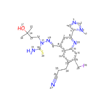 Cn1cncc1-c1cc(/C=N/N(CCC(C)(C)O)C(N)=S)c2cc(CCC#N)c(CI)cc2n1